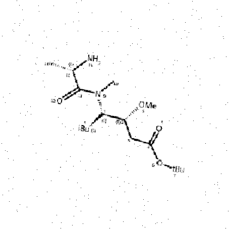 CC[C@H](C)[C@@H]([C@@H](CC(=O)OC(C)(C)C)OC)N(C)C(=O)[C@H](C)N